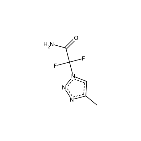 Cc1cn(C(F)(F)C(N)=O)nn1